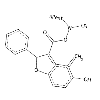 C=c1c(O)ccc2c1=C(C(=O)ON(CCC)CCCCC)C(c1ccccc1)O2